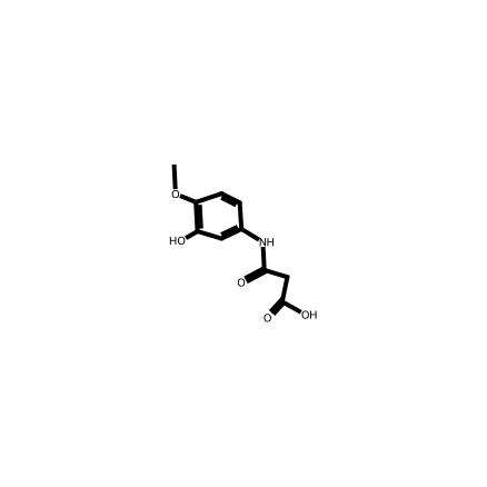 COc1ccc(NC(=O)CC(=O)O)cc1O